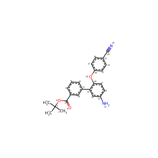 CC(C)(C)OC(=O)c1cccc(-c2cc(N)ccc2Oc2ccc(C#N)cc2)c1